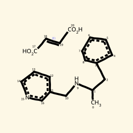 CC(Cc1ccccc1)NCc1cccnc1.O=C(O)/C=C/C(=O)O